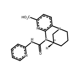 O=C(O)c1ccc2c(n1)N(C(=O)Nc1ccccn1)[C@H]1CCCN2C1